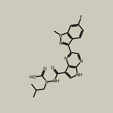 CC(C)CN(NC(=O)c1c[nH]c2ncc(-c3nn(C)c4cc(F)ccc34)nc12)C(=O)O